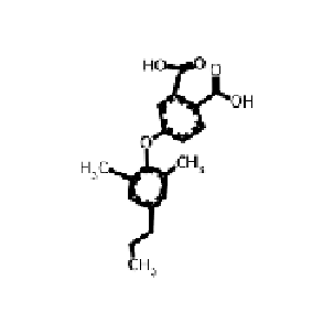 CCCc1cc(C)c(Oc2ccc(C(=O)O)c(C(=O)O)c2)c(C)c1